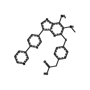 CBc1c(Sc2ccc(CC(=O)O)cc2)nc2c(-c3ccc(-c4cccnc4)nc3)cnn2c1N